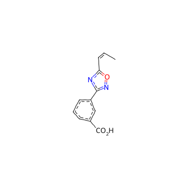 C/C=C\c1nc(-c2cccc(C(=O)O)c2)no1